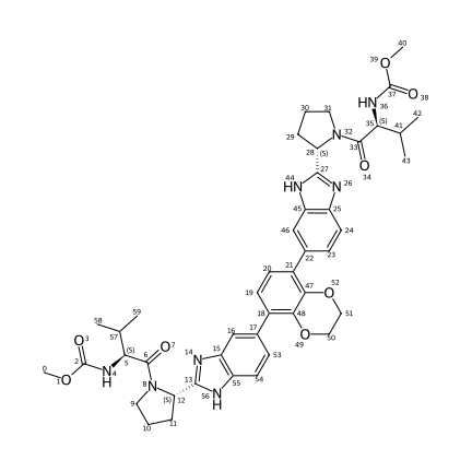 COC(=O)N[C@H](C(=O)N1CCC[C@H]1c1nc2cc(-c3ccc(-c4ccc5nc([C@@H]6CCCN6C(=O)[C@@H](NC(=O)OC)C(C)C)[nH]c5c4)c4c3OCCO4)ccc2[nH]1)C(C)C